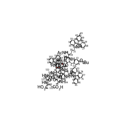 CC[C@H](C)[C@H](NC(=O)[C@H](Cc1ccc(OC(C)(C)C)cc1)NC(=O)[C@H](CCCCNC(c1ccccc1)(c1ccccc1)c1ccc(C)cc1)NC(C)=O)C(=O)N1CCC[C@H]1C(=O)N[C@@H](CCC(=O)NC(c1ccccc1)(c1ccccc1)c1ccccc1)C(=O)N[C@@H](C)C(=O)N[C@@H](C)C(=O)N[C@@H](CCC(=O)NC(c1ccccc1)(c1ccccc1)c1ccccc1)C(=O)N[C@@H](C)C(=O)N[C@@H](C)C(=O)N[C@@H](CCC(=O)O)C(=O)O